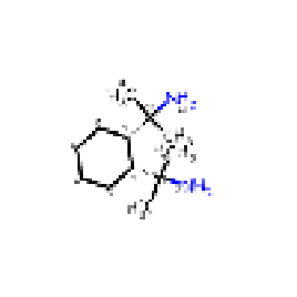 CC(C)(N)[C@@H]1CCCC[C@@H]1C(C)(C)N